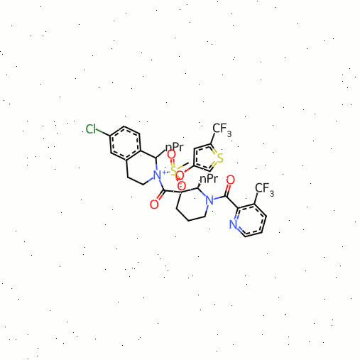 CCCC1c2ccc(Cl)cc2CC[N+]1(C(=O)[C@]1(Oc2csc(C(F)(F)F)c2)CCCN(C(=O)c2ncccc2C(F)(F)F)[C@@H]1CCC)S(C)(=O)=O